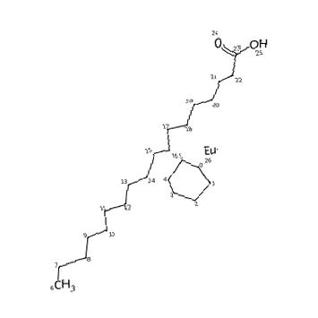 C1CCCCC1.CCCCCCCCCCCCCCCCCC(=O)O.[Eu]